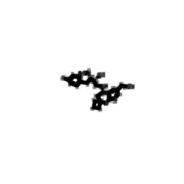 CC(=O)N[C@@H](Cc1ccc(F)cc1)[C@H](O)CN[C@H]1CC2(CCC2)Oc2ncc(CC(C)(C)C)cc21